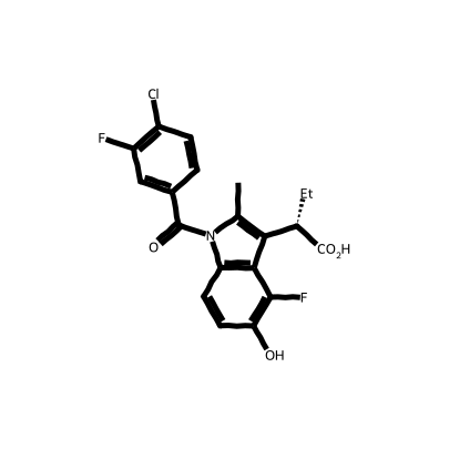 CC[C@H](C(=O)O)c1c(C)n(C(=O)c2ccc(Cl)c(F)c2)c2ccc(O)c(F)c12